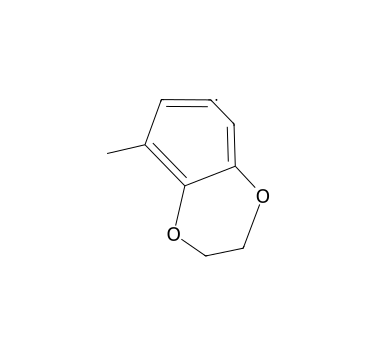 Cc1c[c]cc2c1OCCO2